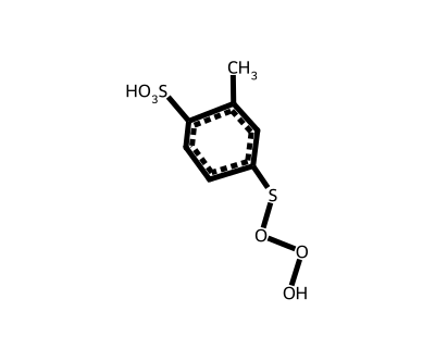 Cc1cc(SOOO)ccc1S(=O)(=O)O